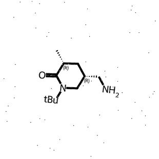 C[C@@H]1C[C@H](CN)CN(C(C)(C)C)C1=O